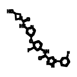 O=C(Nc1ccc(Oc2ccnc(NC(=O)N3CC(O)C3)c2)c(F)c1)c1cn(-c2cccc(F)c2)nn1